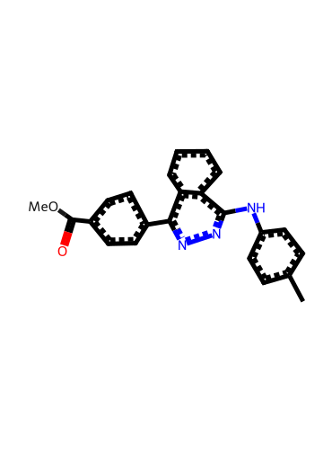 COC(=O)c1ccc(-c2nnc(Nc3ccc(C)cc3)c3ccccc23)cc1